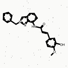 COc1ccc(C=CC(=O)Nc2cccc3cn(Cc4ccccc4)nc23)cc1O